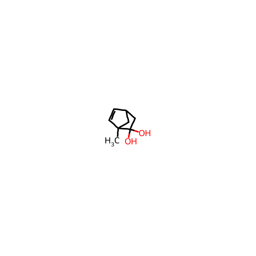 CC12C=CC(CC1(O)O)C2